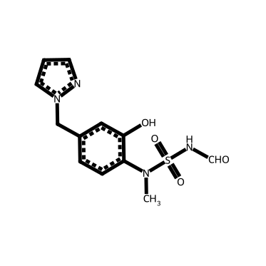 CN(c1ccc(Cn2cccn2)cc1O)S(=O)(=O)NC=O